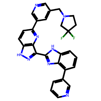 FC1(F)CCN(Cc2cncc(-c3ccc4[nH]nc(-c5nc6c(-c7cccnc7)cccc6[nH]5)c4n3)c2)C1